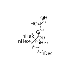 CCCCCCCCCCCCCC(CCCCCC)C(CCCCCC)(CCCCCC)C(=O)OCC(O)CO